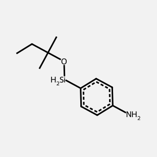 CCC(C)(C)O[SiH2]c1ccc(N)cc1